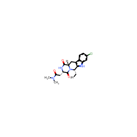 CC(C)C[C@H]1c2[nH]c3cc(Cl)ccc3c2C[C@H]2C(=O)N[C@@H](CC(=O)N(C)C)C(=O)N21